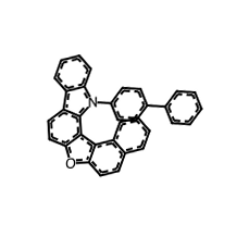 c1ccc(-c2ccc(-n3c4ccccc4c4ccc5oc6ccc7ccccc7c6c5c43)cc2)cc1